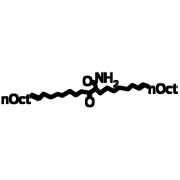 CCCCCCCCC=CCCCCCCCC(=O)C(CCCCCCC=CCCCCCCCC)C(N)=O